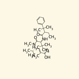 CCC(C(=O)N[C@H](C(=O)N(C)[C@H](C=C(C)C(=O)O)C(C)C)C(C)(C)C)C(C)(C)c1ccccc1